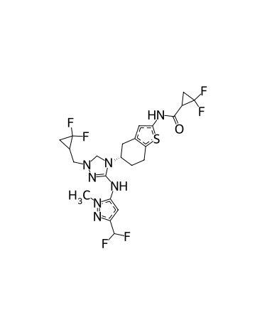 Cn1nc(C(F)F)cc1NC1=NN(CC2CC2(F)F)CN1[C@H]1CCc2sc(NC(=O)C3CC3(F)F)cc2C1